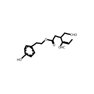 C/C=C(/C=O)C(CC=O)CC(=O)OCCc1ccc(O)cc1